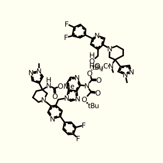 CN(C(=O)O)C1(c2cnn(C)c2)CCCN(c2cnc(-c3ccc(F)c(F)c3)cc2CO)C1.COC(=O)NC1(c2cnn(C)c2)CCCN(c2cnc(-c3ccc(F)c(F)c3)cc2Cn2cnc3c(N(C(=O)OC(C)(C)C)C(=O)OC(C)(C)C)nccc32)C1